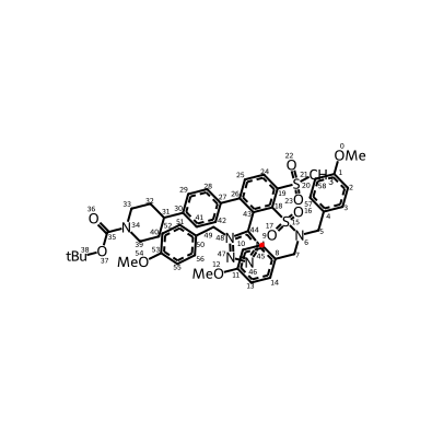 COc1ccc(CN(Cc2ccc(OC)cc2)S(=O)(=O)c2c(S(C)(=O)=O)ccc(-c3ccc(C4CCN(C(=O)OC(C)(C)C)CC4)cc3)c2-c2nnnn2Cc2ccc(OC)cc2)cc1